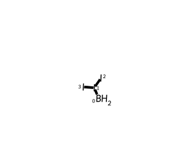 BI(I)I